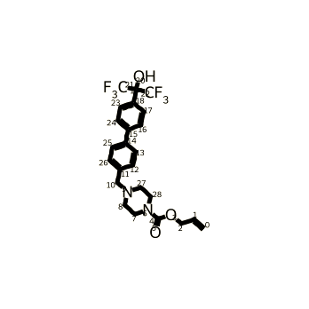 C=CCOC(=O)N1CCN(Cc2ccc(-c3ccc(C(O)(C(F)(F)F)C(F)(F)F)cc3)cc2)CC1